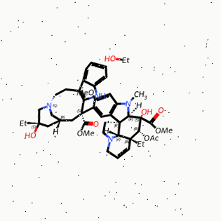 CCO.CC[C@]1(O)C[C@@H]2C[N@@](CCc3c([nH]c4ccccc34)[C@@](C(=O)OC)(c3cc4c(cc3OC)N(C)[C@H]3[C@@](O)(C(=O)OC)[C@H](OC(C)=O)[C@]5(CC)C=CCN6CC[C@]43[C@@H]65)C2)C1